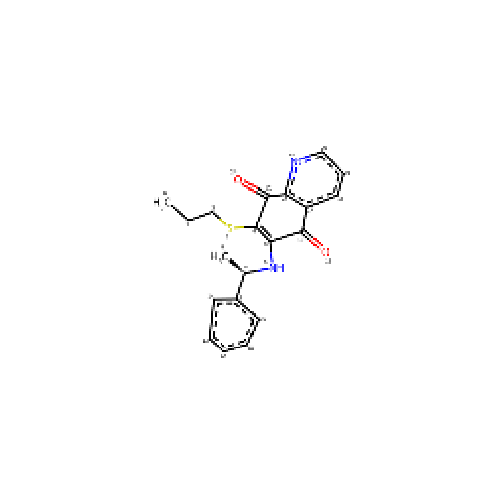 CCCSC1=C(N[C@H](C)c2ccccc2)C(=O)c2cccnc2C1=O